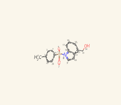 Cc1ccc(S(=O)(=O)n2ccc3c(CO)cccc32)cc1